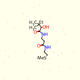 CCC(C)(C)C(O)C(=O)NCCC(=O)NCCSC